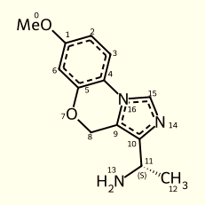 COc1ccc2c(c1)OCc1c([C@H](C)N)ncn1-2